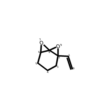 C=CC12CCCC3OC31O2